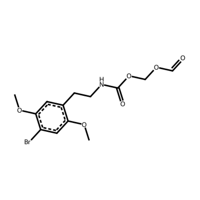 COc1cc(CCNC(=O)OCOC=O)c(OC)cc1Br